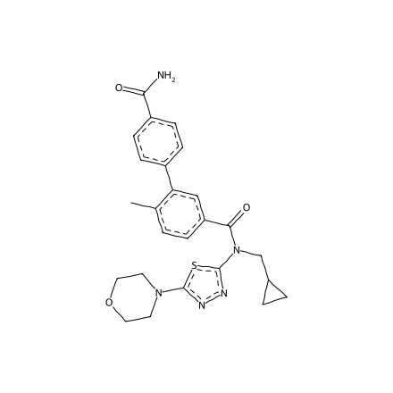 Cc1ccc(C(=O)N(CC2CC2)c2nnc(N3CCOCC3)s2)cc1-c1ccc(C(N)=O)cc1